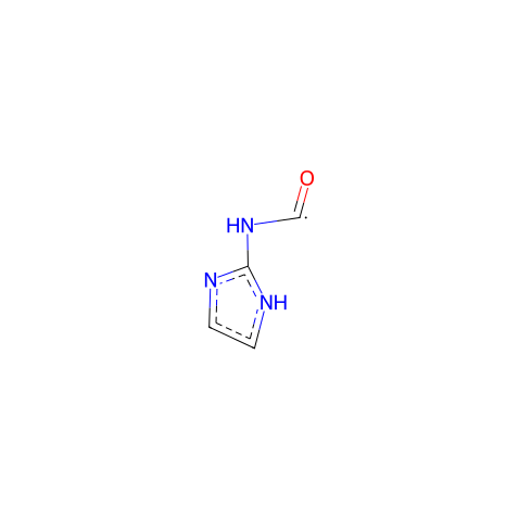 O=[C]Nc1ncc[nH]1